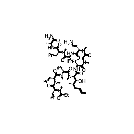 C/C=C/C[C@@H](C)[C@@H](O)[C@@H](C(=O)N[C@@H](CC)C(=O)N(C)CC(=O)N(C)[C@@H](CCN)C(=O)N[C@H](C(=O)N(C)[C@@H](CC(C)C)C(=O)N[C@H](C)C(N)=O)C(C)C)N(C)C(=O)[C@H](C(C)C)N(C)C(=O)[C@H](CC(C)C)N(C)C(=O)[C@H](CC(C)C)N(C)C(=O)CC